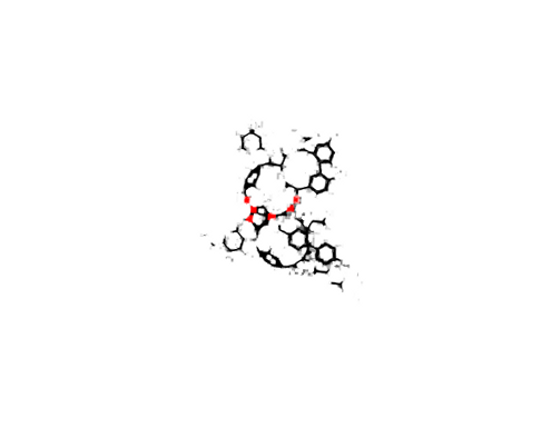 CN[C@H](CC(C)C)C(=O)N[C@H]1C(=O)N[C@@H](CC(N)=O)C(=O)N[C@H]2C(=O)N[C@H]3C(=O)N[C@H](C(=O)N[C@@H](C(=O)O)c4cc(O)cc(O)c4-c4cc3ccc4O)C(OC3C[C@](C)(N)[C@@H](O)[C@H](C)O3)c3ccc(c(Cl)c3)Oc3cc2cc(c3OC2O[C@H](CO)[C@@H](O)[C@H](O)[C@H]2OC2C[C@](C)(NCc3ccc(-c4ccc(Cl)cc4)cc3)[C@@H](O)[C@H](C)O2)Oc2ccc(cc2Cl)[C@H]1O